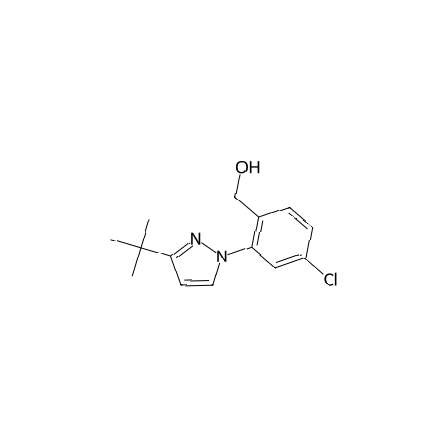 CC(C)(C)c1ccn(-c2cc(Cl)ccc2CO)n1